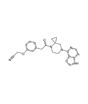 N#CCOc1cccc(CC(=O)N2CCN(c3ncnc4[nH]ccc34)CC23CC3)c1